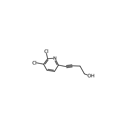 OCCC#Cc1ccc(Cl)c(Cl)n1